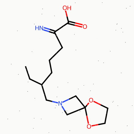 CCC(CCCC(=N)C(=O)O)CN1CC2(C1)OCCO2